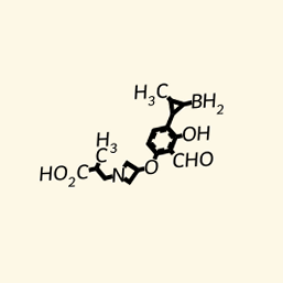 BC1C(C)C1c1ccc(OC2CN(CC(C)C(=O)O)C2)c(C=O)c1O